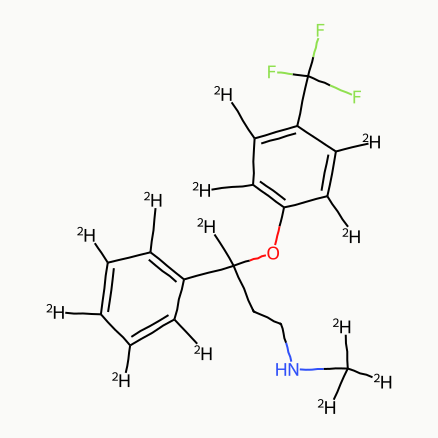 [2H]c1c([2H])c([2H])c(C([2H])(CCNC([2H])([2H])[2H])Oc2c([2H])c([2H])c(C(F)(F)F)c([2H])c2[2H])c([2H])c1[2H]